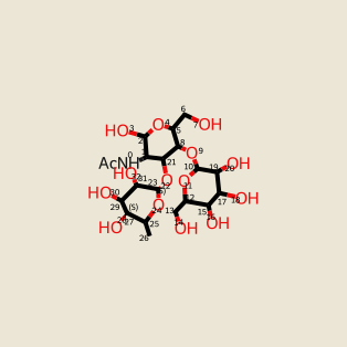 CC(=O)NC1C(O)OC(CO)C(OC2OC(CO)C(O)C(O)C2O)C1O[C@@H]1OC(C)[C@@H](O)C(O)C1O